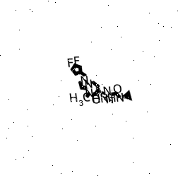 CN1C(=O)[C@H](c2nc(C(=O)NC3CC3)n[nH]2)CCN2C1=CCN2CC1CCC(F)(F)C1